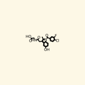 Cc1c(CC(=O)NCC(=O)O)c2cc(O)ccc2n1C(=O)c1ccc(Cl)c(F)c1